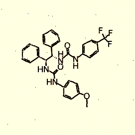 COc1ccc(NC(=O)N[C@@H](c2ccccc2)[C@@H](NC(=O)Nc2ccc(C(F)(F)F)cc2)c2ccccc2)cc1